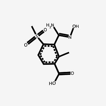 Cc1c(C(=O)O)ccc(S(C)(=O)=O)c1C(N)=NO